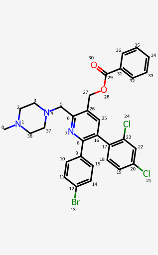 CN1CCN(Cc2nc(-c3ccc(Br)cc3)c(-c3ccc(Cl)cc3Cl)cc2COC(=O)c2ccccc2)CC1